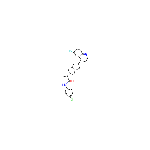 CC(C(=O)Nc1ccc(Cl)cc1)C1CC2CC(c3ccnc4ccc(F)cc34)CC2C1